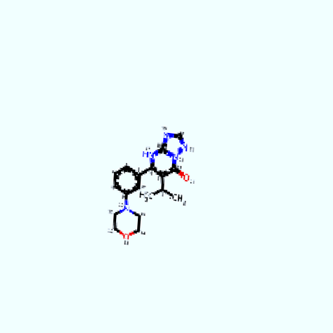 CC(C)c1c(-c2cccc(N3CCOCC3)c2)[nH]c2ncnn2c1=O